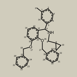 Cc1cccc(C(NCC2CC2)c2cccc(OCc3ccccc3)c2OCc2ccccc2)c1